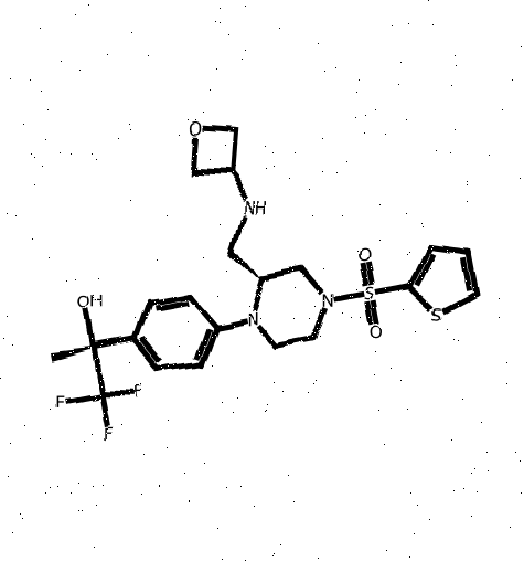 C[C@@](O)(c1ccc(N2CCN(S(=O)(=O)c3cccs3)C[C@@H]2CNC2COC2)cc1)C(F)(F)F